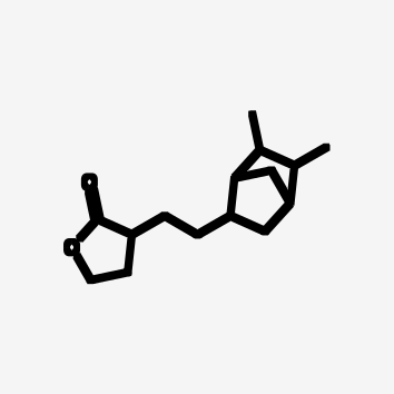 CC1C2CC(CCC3CCOC3=O)C(C2)C1C